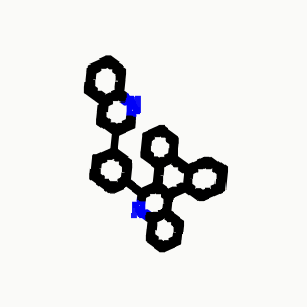 c1cc(-c2cnc3ccccc3c2)cc(-c2nc3ccccc3c3c4ccccc4c4ccccc4c23)c1